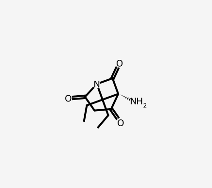 CCC1(CC)N2C(=O)CC(=O)[C@]1(N)C2=O